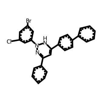 Clc1cc(Br)cc(N2N=C(c3ccccc3)C=C(c3ccc(-c4ccccc4)cc3)N2)c1